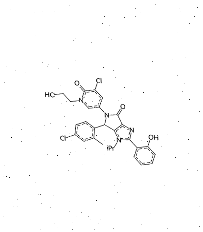 Cc1cc(Cl)ccc1C1c2c(nc(-c3ccccc3O)n2C(C)C)C(=O)N1c1cc(Cl)c(=O)n(CCO)c1